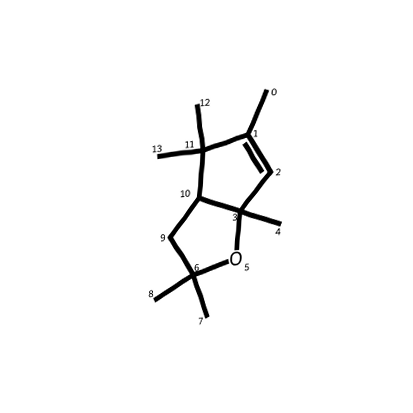 CC1=CC2(C)OC(C)(C)CC2C1(C)C